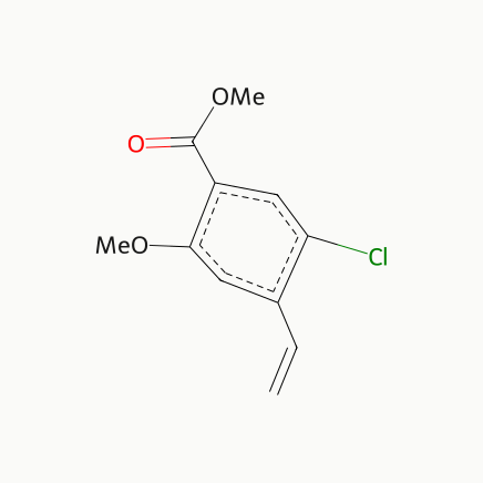 C=Cc1cc(OC)c(C(=O)OC)cc1Cl